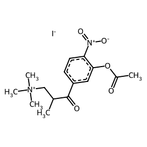 CC(=O)Oc1cc(C(=O)C(C)C[N+](C)(C)C)ccc1[N+](=O)[O-].[I-]